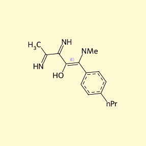 CCCc1ccc(/C(NC)=C(\O)C(=N)C(C)=N)cc1